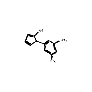 Cc1cc(C)cc(C2C=CC=C2S)c1